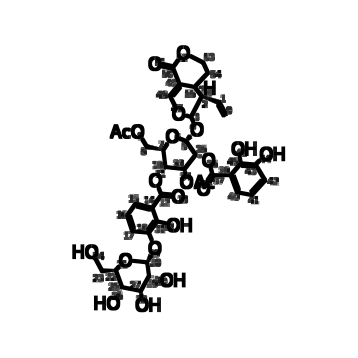 C=C[C@H]1C(O[C@@H]2O[C@H](COC(C)=O)[C@@H](OC(=O)c3cccc(O[C@@H]4O[C@H](CO)[C@@H](O)[C@H](O)[C@H]4O)c3O)[C@H](OC(C)=O)[C@H]2OC(=O)c2cccc(O)c2O)OC=C2C(=O)OCC[C@H]21